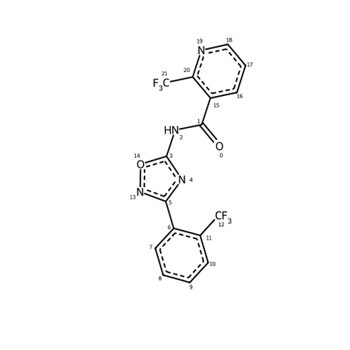 O=C(Nc1nc(-c2ccccc2C(F)(F)F)no1)c1cccnc1C(F)(F)F